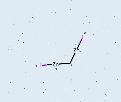 [I][Zn][CH2][Zn][I]